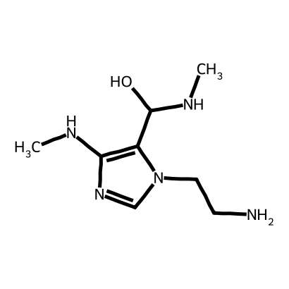 CNc1ncn(CCN)c1C(O)NC